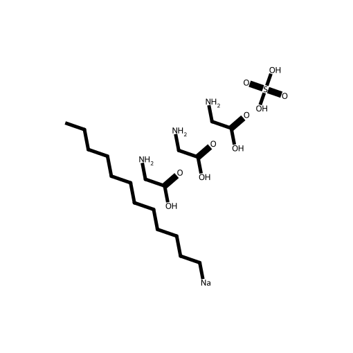 CCCCCCCCCCC[CH2][Na].NCC(=O)O.NCC(=O)O.NCC(=O)O.O=S(=O)(O)O